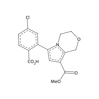 COC(=O)c1cc(-c2cc(Cl)ccc2C(=O)O)n2c1COCC2